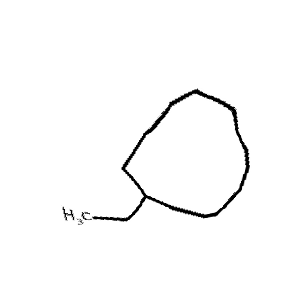 CCC1CCCCCCCCC1